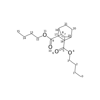 CCCCOC(=O)C1=C(C(=O)OCCCC)C2CCC1CC2